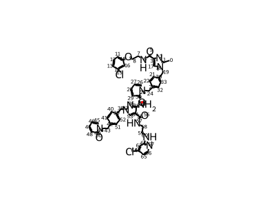 Cc1nc(C(=O)NCCOc2cccc(Cl)c2)cn1Cc1ccc(Cn2ccccc2=O)cc1.Nc1nn(Cc2ccc(Cn3ccccc3=O)cc2)cc1C(=O)NCCNc1cc(Cl)ccn1